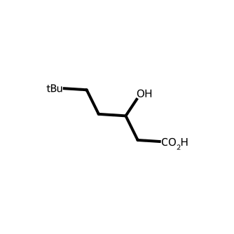 CC(C)(C)CCC(O)CC(=O)O